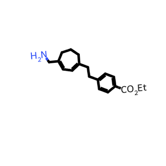 CCOC(=O)c1ccc(CCC2=CC=C(CN)CCC2)cc1